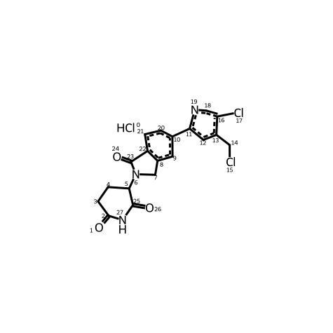 Cl.O=C1CCC(N2Cc3cc(-c4cc(CCl)c(Cl)cn4)ccc3C2=O)C(=O)N1